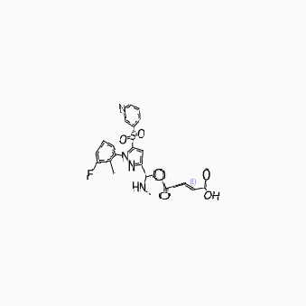 CNC(OC(=O)/C=C/C(=O)O)c1cc(S(=O)(=O)c2cccnc2)n(-c2cccc(F)c2C)n1